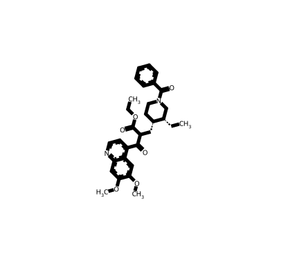 CCOC(=O)C(C[C@@H]1CCN(C(=O)c2ccccc2)C[C@@H]1CC)C(=O)c1ccnc2cc(OC)c(OC)cc12